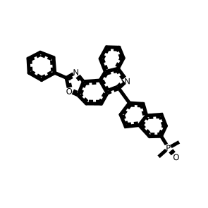 CP(C)(=O)c1ccc2cc(-c3nc4ccccc4c4c3ccc3oc(-c5ccccc5)nc34)ccc2c1